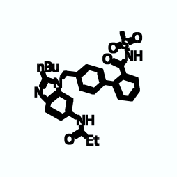 CCCCc1nc2ccc(NC(=O)CC)cc2n1Cc1ccc(-c2ccccc2C(=O)NS(C)(=O)=O)cc1